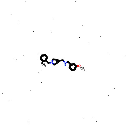 Cc1ccccc1CN1CC2C(CNCc3cccc(OC(F)(F)F)c3)C2C1